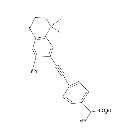 CCCc1cc2c(cc1C#Cc1ccc(C(CCC)C(=O)OCC)cc1)C(C)(C)CCS2